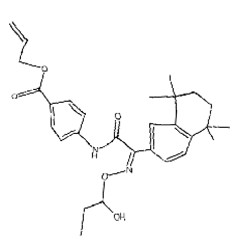 C=CCOC(=O)c1ccc(NC(=O)C(=NOC(O)CC)c2ccc3c(c2)C(C)(C)CCC3(C)C)cc1